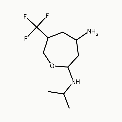 CC(C)NC1CC(N)CC(C(F)(F)F)CO1